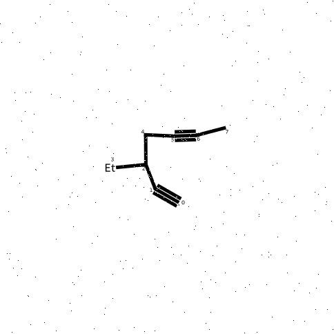 [C]#CC(CC)CC#CC